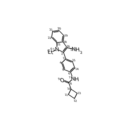 CCn1c(-c2ccc(NC(=O)C3CCC3)cc2)c(N)c2ccccc21